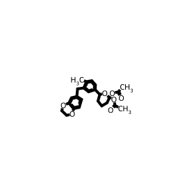 CC(=O)OC1(OC(C)=O)CCCC(c2ccc(C)c(Cc3ccc4c(c3)OCCO4)c2)O1